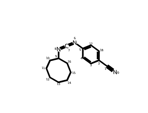 N#Cc1ccc(N=C=NC2CCCCCCC2)cc1